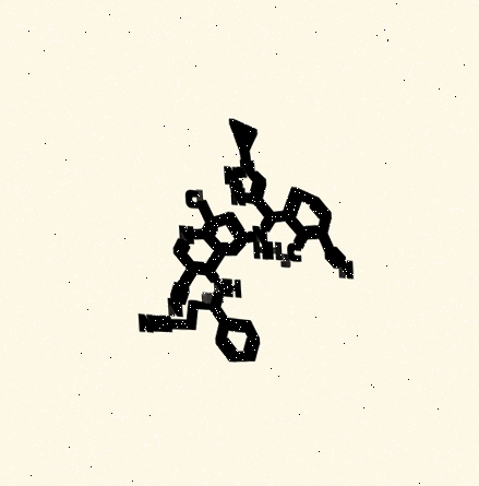 Cc1c(C#N)cccc1C(Nc1cc(Cl)c2ncc(C#N)c(N[C@H](CCC#N)c3ccccc3)c2c1)c1cn(C2CC2)nn1